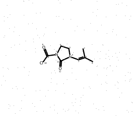 CC(C)=CN1CCN(C(=O)Cl)C1=O